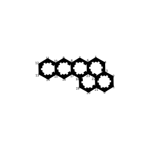 [c]1ccc2ccc3cc4cc5ccccc5cc4c4ccc1c2c34